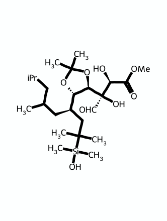 COC(=O)[C@H](O)[C@](O)(C=O)[C@@H]1OC(C)(C)O[C@H]1[C@H](CC(C)CC(C)C)CC(C)(C)[Si](C)(C)O